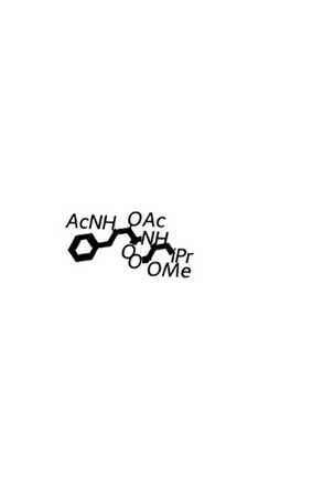 COC(=O)C(CC(C)C)NC(=O)[C@@H](OC(C)=O)[C@@H](Cc1ccccc1)NC(C)=O